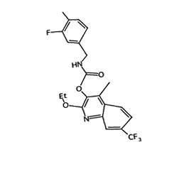 CCOc1nc2cc(C(F)(F)F)ccc2c(C)c1OC(=O)NCc1ccc(C)c(F)c1